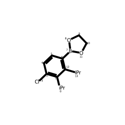 CC(C)c1c(Cl)ccc(B2OCCO2)c1C(C)C